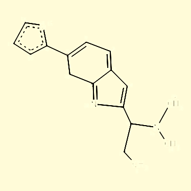 CCC(C1=CC2=CC=C(c3cccs3)CC2=N1)N(C)C